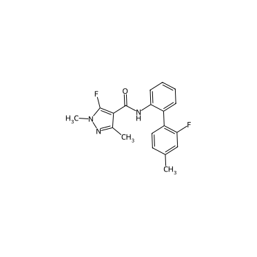 Cc1ccc(-c2ccccc2NC(=O)c2c(C)nn(C)c2F)c(F)c1